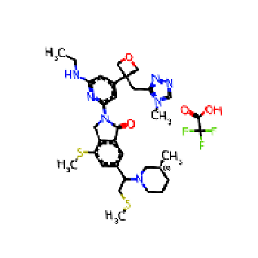 CCNc1cc(C2(Cc3nncn3C)COC2)cc(N2Cc3c(SC)cc(C(CSC)N4CCC[C@H](C)C4)cc3C2=O)n1.O=C(O)C(F)(F)F